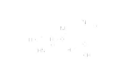 CC(C)Oc1cc(C(=O)N[C@@H](Cc2ccccc2)[C@H](O)C[C@@H](C)C(=O)NC2CCC2)cc(N2CCCC2=O)c1